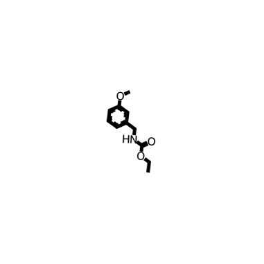 CCOC(=O)NCc1cccc(OC)c1